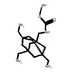 CC(C)(C)OC(=O)NCC12CC3(CN)CC(CN)(CC(CN)(C3)C1)C2